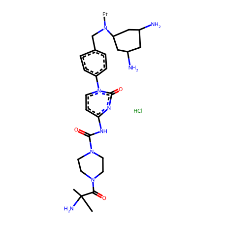 CCN(Cc1ccc(-n2ccc(NC(=O)N3CCN(C(=O)C(C)(C)N)CC3)nc2=O)cc1)C1CC(N)CC(N)C1.Cl